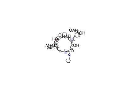 CO[C@H]1C[C@@H](C)C/C(C)=C/[C@@H](C/C=C/C2CCCCC2)C(=O)C[C@H](O)[C@@H](C)[C@@H](/C(C)=C/[C@@H]2CC[C@@H](O)[C@H](OC)C2)OC(=O)[C@@H]2CCCCN2C(=O)C(=O)[C@]2(O)O[C@H]1[C@@H](OC)C[C@H]2C